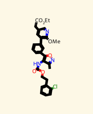 CCOC(=O)Cc1cnc(OC)c(-c2cccc(-c3onc(C)c3NC(=O)OCCc3ccccc3Cl)c2)c1